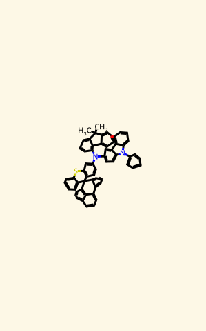 CC1(C)c2ccccc2-c2c(N(c3ccc4c(c3)Sc3ccccc3C43c4ccccc4-c4cccc5cccc3c45)c3ccc4c(c3)c3ccccc3n4-c3ccccc3)cccc21